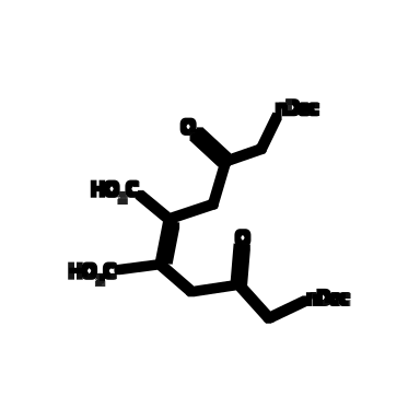 CCCCCCCCCCCC(=O)CC(C(=O)O)=C(CC(=O)CCCCCCCCCCC)C(=O)O